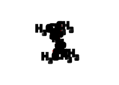 CCc1ccc(N(c2cccc(C(C)C)c2)c2ccc3c4cc5c(cc4n4c6ccccc6c2c34)c2ccc(N(c3cccc(C(C)C)c3)c3ccc(CC)cc3-c3ccccc3)c3c4ccccc4n5c23)c(-c2ccccc2)c1